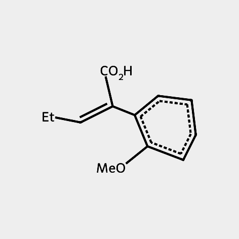 CCC=C(C(=O)O)c1ccccc1OC